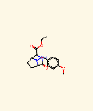 CCOC(=O)C1NC(=O)C2CCC1N2Cc1ccc(OC)cc1